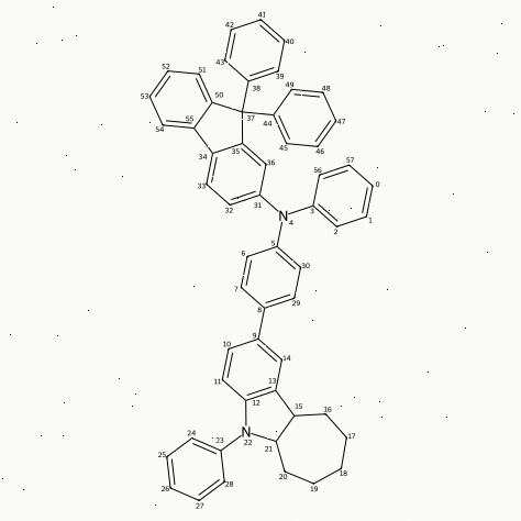 c1ccc(N(c2ccc(-c3ccc4c(c3)C3CCCCCC3N4c3ccccc3)cc2)c2ccc3c(c2)C(c2ccccc2)(c2ccccc2)c2ccccc2-3)cc1